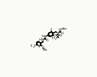 CCCCOc1nc(C(F)(F)F)ccc1CNC(=O)Nc1ccc(CN(C(=O)OC(C)(C)C)S(N)(=O)=O)c(F)c1